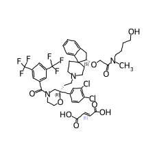 CN(CCCCO)C(=O)CO[C@H]1Cc2ccccc2C12CCN(CC[C@@]1(c3ccc(Cl)c(Cl)c3)CN(C(=O)c3cc(C(F)(F)F)cc(C(F)(F)F)c3)CCO1)CC2.O=C(O)/C=C/C(=O)O